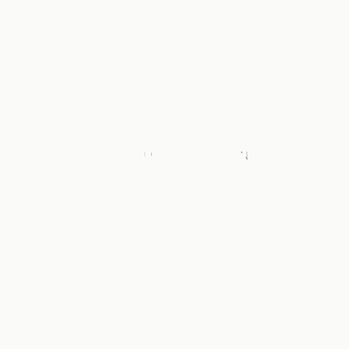 C=C1C=Cc2cnccc2O1